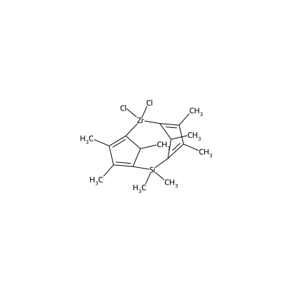 CC1=C2C(C)[C](=C1C)[Zr]([Cl])([Cl])[C]1=C(C)C(C)=C(C1C)[Si]2(C)C